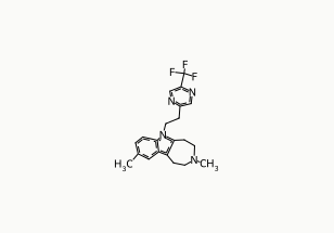 Cc1ccc2c(c1)c1c(n2CCc2cnc(C(F)(F)F)cn2)CCN(C)CC1